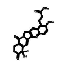 CC[C@@]1(O)C(=O)OCc2c1cc1n(c2=O)Cc2cc3c(CCC(=O)OC)c(OC)ccc3nc2-1